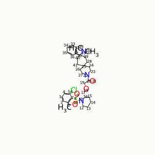 Cc1cccc(Cl)c1S(=O)(=O)N1CCCC[C@H]1COCC(=O)N1CCC2(CC1)CCC(c1ccccc1)(N(C)C)CC2